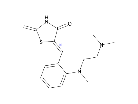 C=c1[nH]c(=O)/c(=C/c2ccccc2N(C)CCN(C)C)s1